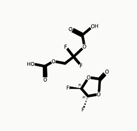 O=C(O)OCC(F)(F)OC(=O)O.O=C1O[C@H](F)[C@@H](F)O1